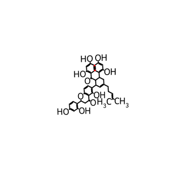 CC(C)=CCCC1=CC(c2ccc3c(c2O)C(=O)CC(c2ccc(O)cc2O)O3)C(C(=O)c2ccc(O)cc2O)C(c2ccc(O)cc2O)C1